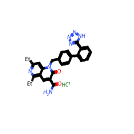 CCc1cc2c(cc(C(N)=O)c(=O)n2Cc2ccc(-c3ccccc3-c3nnn[nH]3)cc2)c(CC)n1.Cl